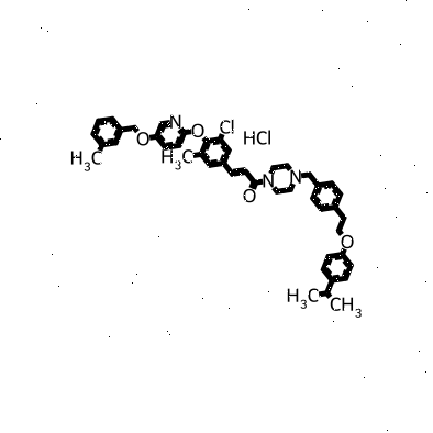 Cc1cccc(COc2ccc(Oc3c(C)cc(/C=C/C(=O)N4CCN(Cc5ccc(CCOc6ccc(C(C)C)cc6)cc5)CC4)cc3Cl)nc2)c1.Cl